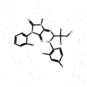 CN1C(=O)N(c2ccccc2F)C(=O)C1=NC(Nc1ccc(F)cc1F)C(Br)(Br)CCl